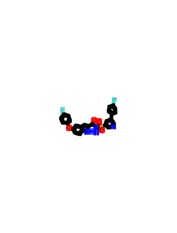 O=C(NS(=O)(=O)c1cncc(-c2ccc(F)cc2)c1)c1cc2cc(Oc3ccc(F)cc3)ccc2[nH]1